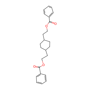 O=C(OCCC1CCC(CCOC(=O)c2ccccc2)CC1)c1ccccc1